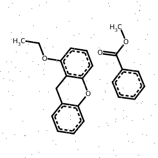 CCOc1cccc2c1Cc1ccccc1O2.COC(=O)c1ccccc1